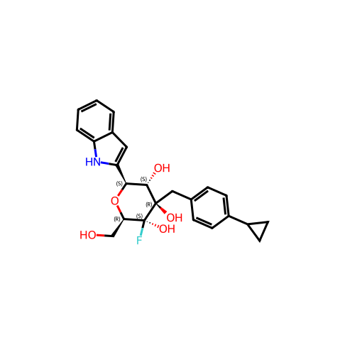 OC[C@H]1O[C@@H](c2cc3ccccc3[nH]2)[C@H](O)[C@](O)(Cc2ccc(C3CC3)cc2)[C@@]1(O)F